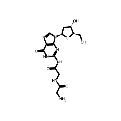 NCC(=O)NCC(=O)Nc1nc2c(ncn2[C@H]2C[C@H](O)[C@@H](CO)O2)c(=O)[nH]1